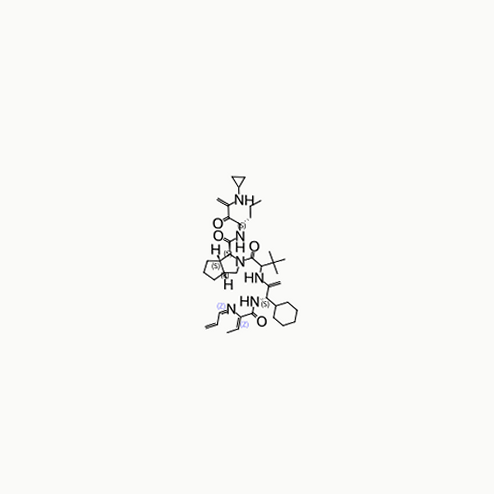 C=C/C=N\C(=C/C)C(=O)N[C@H](C(=C)NC(C(=O)N1C[C@@H]2CCC[C@@H]2[C@H]1C(=O)N[C@@H](CCC)C(=O)C(=C)NC1CC1)C(C)(C)C)C1CCCCC1